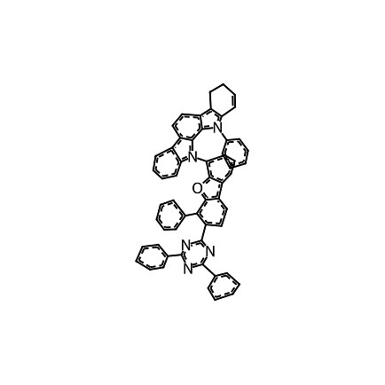 C1=Cc2c(c3ccc4c5ccccc5n(-c5cccc6c5oc5c(-c7ccccc7)c(-c7nc(-c8ccccc8)nc(-c8ccccc8)n7)ccc56)c4c3n2-c2ccccc2)CC1